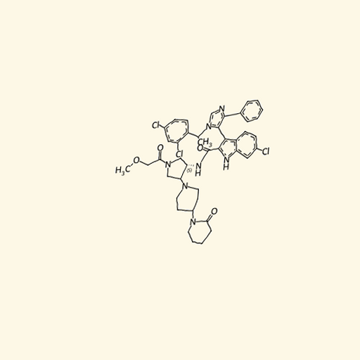 COCC(=O)N1CC(N2CCC(N3CCCCC3=O)CC2)[C@@H](NC(=O)c2[nH]c3cc(Cl)ccc3c2-c2c(-c3ccccc3)ncn2C(C)c2ccc(Cl)cc2Cl)C1